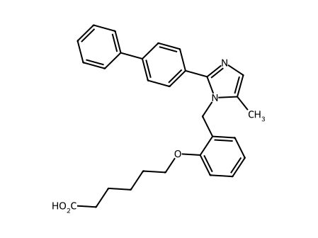 Cc1cnc(-c2ccc(-c3ccccc3)cc2)n1Cc1ccccc1OCCCCCC(=O)O